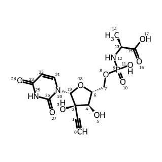 C#C[C@@]1(O)[C@H](O)[C@@H](COP(=O)(O)N[C@@H](C)C(=O)O)O[C@H]1n1ccc(=O)[nH]c1=O